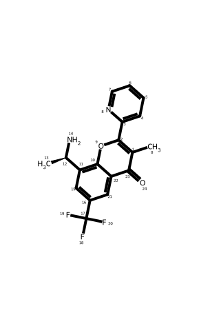 Cc1c(-c2ccccn2)oc2c([C@@H](C)N)cc(C(F)(F)F)cc2c1=O